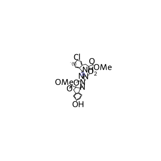 COC(=O)C1CC2=CC(Cl)[C@@H](C)C=C2/C(N)=N/N(CN2COC3(C(=O)OC)Cc4cc(O)ccc4C3=N2)CO1